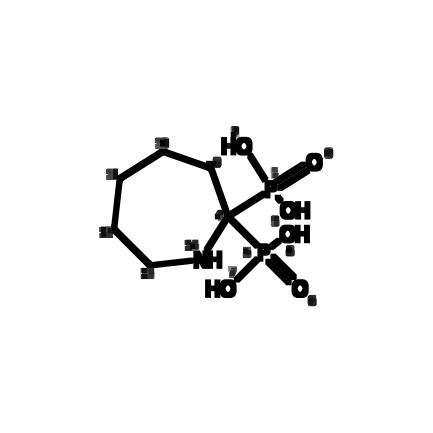 O=P(O)(O)C1(P(=O)(O)O)[C]CCCCN1